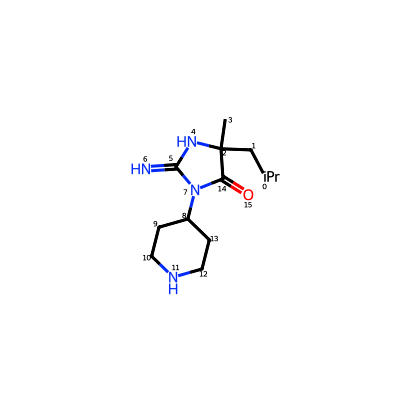 CC(C)CC1(C)NC(=N)N(C2CCNCC2)C1=O